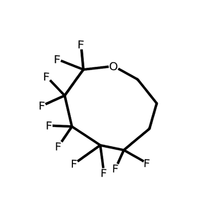 FC1(F)CCCOC(F)(F)C(F)(F)C(F)(F)C1(F)F